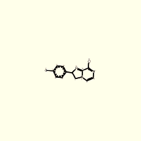 ClC1=NC=CN2CC(c3ccc(Cl)cc3)N=C12